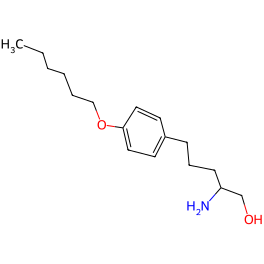 CCCCCCOc1ccc(CCCC(N)CO)cc1